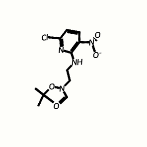 CC(C)(C)ON(C=O)CCNc1nc(Cl)ccc1[N+](=O)[O-]